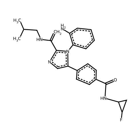 C=C(NCC(C)C)c1ncc(-c2ccc(C(=O)NC3CC3F)cc2)n1-c1ccccc1N